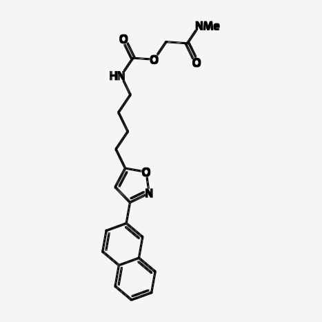 CNC(=O)COC(=O)NCCCCc1cc(-c2ccc3ccccc3c2)no1